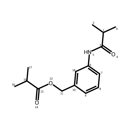 CC(C)C(=O)Nc1cccc(COC(=O)C(C)C)c1